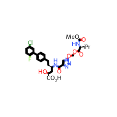 COC(=O)N[C@H](C(=O)OCOn1cc(C(=O)N[C@H](CCc2ccc(-c3cc(Cl)ccc3F)cc2)C[C@@H](O)C(=O)O)nn1)C(C)C